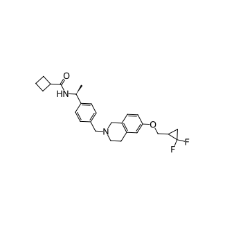 C[C@H](NC(=O)C1CCC1)c1ccc(CN2CCc3cc(OCC4CC4(F)F)ccc3C2)cc1